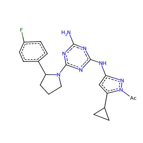 CC(=O)n1nc(Nc2nc(N)nc(N3CCCC3c3ccc(F)cc3)n2)cc1C1CC1